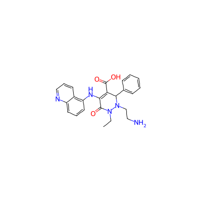 CCN1C(=O)C(Nc2cccc3ncccc23)=C(C(=O)O)C(c2ccccc2)N1CCN